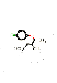 CCOC(=O)C[C@H](C)[C@@H](C)Oc1ccc(F)cc1